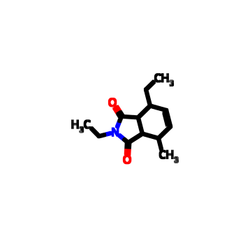 CCC1C=CC(C)C2C(=O)N(CC)C(=O)C12